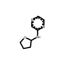 c1cnc(NC2CCCO2)cn1